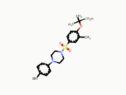 Cc1cc(S(=O)(=O)N2CCN(c3ccc(C(C)(C)C)cc3)CC2)ccc1OC(C)(C)C(=O)O